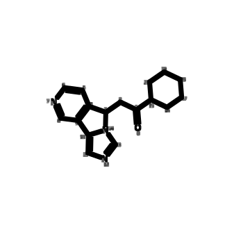 O=C(CC1c2ccncc2-c2cncn21)C1CCCCC1